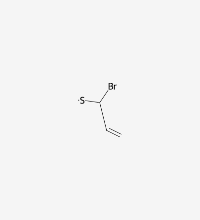 C=CC([S])Br